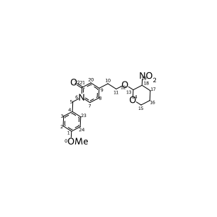 COc1ccc(Cn2ccc(CCOC3OCCCC3[N+](=O)[O-])cc2=O)cc1